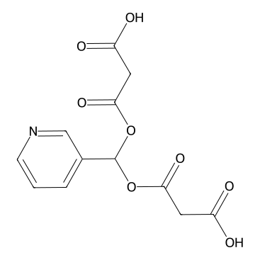 O=C(O)CC(=O)OC(OC(=O)CC(=O)O)c1cccnc1